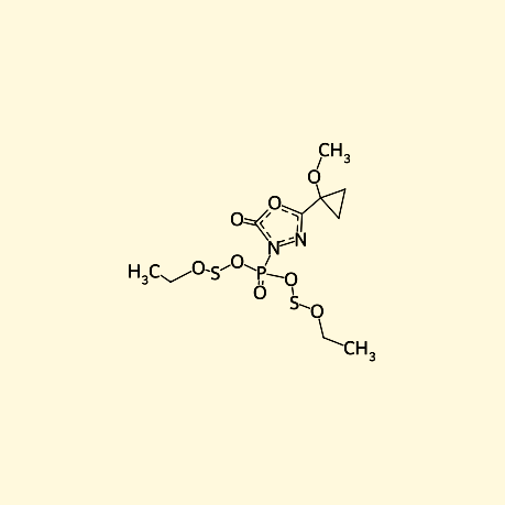 CCOSOP(=O)(OSOCC)n1nc(C2(OC)CC2)oc1=O